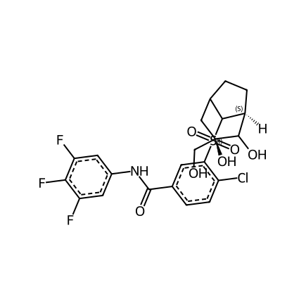 O=C(Nc1cc(F)c(F)c(F)c1)c1ccc(Cl)c(S(=O)(=O)C2C3CC[C@H]2C(O)[C@](O)(CO)C3)c1